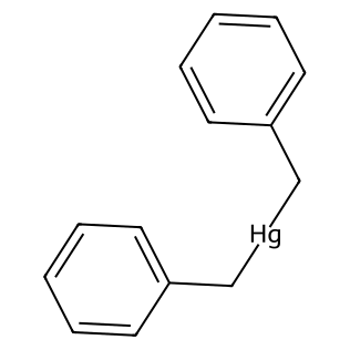 c1ccc([CH2][Hg][CH2]c2ccccc2)cc1